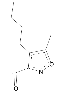 CCCCc1c([C]=O)noc1C